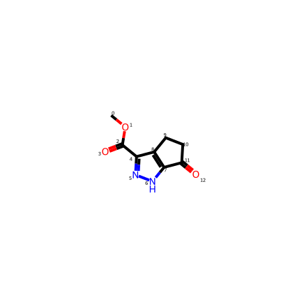 COC(=O)c1n[nH]c2c1CCC2=O